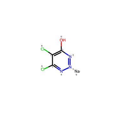 Oc1nnnc(Cl)c1Cl.[Na]